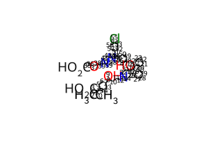 CC(C)(C(=O)O)c1ccc(C(O)CCCN2CCC(C(O)(c3ccccc3)c3ccccc3)CC2)cc1.O=C(O)COCCN1CCN([C@H](c2ccccc2)c2ccc(Cl)cc2)CC1